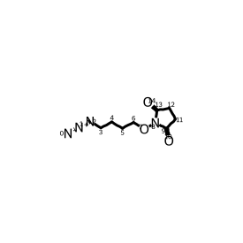 [N-]=[N+]=NCCCCON1C(=O)CCC1=O